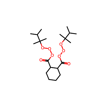 CC(C)C(C)(C)OOOC(=O)C1CCCCC1C(=O)OOOC(C)(C)C(C)C